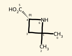 CC1(C)C[C@H](C(=O)O)N1